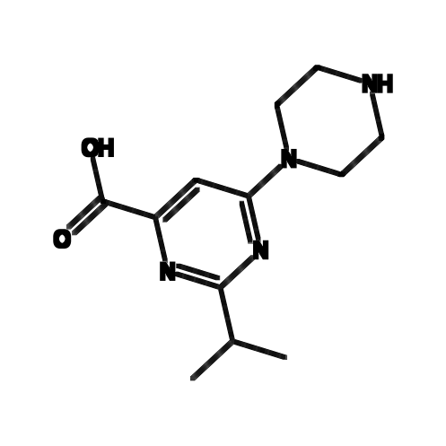 CC(C)c1nc(C(=O)O)cc(N2CCNCC2)n1